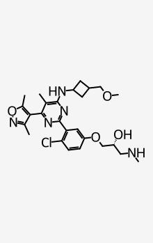 CNC[C@@H](O)COc1ccc(Cl)c(-c2nc(NC3CC(COC)C3)c(C)c(-c3c(C)noc3C)n2)c1